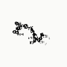 Cc1ncsc1-c1ccc([C@H](C)NC(=O)[C@@H]2C[C@@H](O)CN2C(=O)[C@@H](c2cc(N3CCN(C(=O)OC[C@H]4CC[C@@]5(COc6nc(N7CC8CCC(C7)N8)c7cnc(-c8cc(O)cc9ccccc89)c(F)c7n6)CCCN45)CC3)no2)C(C)C)cc1